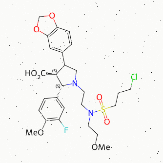 COCCN(CCN1CC(c2ccc3c(c2)OCO3)[C@H](C(=O)O)[C@H]1c1ccc(OC)c(F)c1)S(=O)(=O)CCCCl